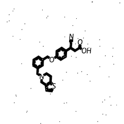 N#CC(CC(=O)O)c1ccc(OCc2cccc(CN3CCc4sccc4C3)c2)cc1